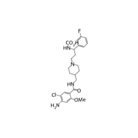 COc1cc(N)c(Cl)cc1C(=O)NCC1CCN(CCC(NC(=O)O)c2cccc(F)c2)CC1